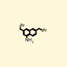 CC(C)Cc1ccc2c(N)cc(CC(C)C)cc2c1